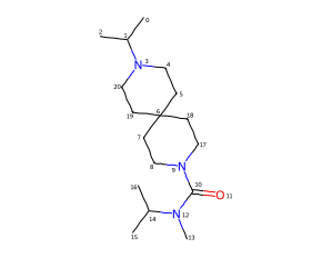 CC(C)N1CCC2(CCN(C(=O)N(C)C(C)C)CC2)CC1